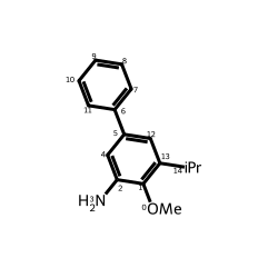 COc1c(N)cc(-c2ccccc2)cc1C(C)C